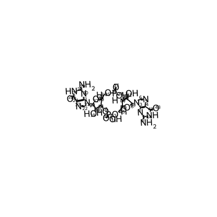 Nc1nc2c(ncn2[C@@H]2O[C@@H]3COP(=O)(O)O[C@H]4[C@@H](O)[C@H](n5cnc6c(=O)[nH]c(N)nc65)O[C@@H]4CO[PH](=O)O[C@H]3[C@H]2O)c(=O)[nH]1